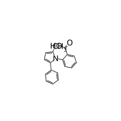 Cc1ccc(-c2ccccc2)n1-c1ccccc1C(=O)O